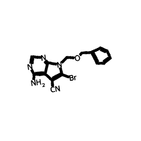 N#Cc1c(Br)n(COCc2ccccc2)c2ncnc(N)c12